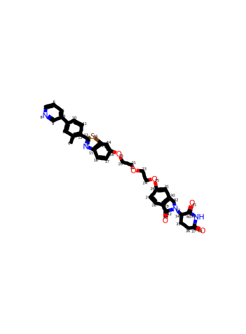 Cc1cc(-c2cccnc2)ccc1-c1nc2ccc(OCCOCCOc3ccc4c(c3)CN(C3CCC(=O)NC3=O)C4=O)cc2s1